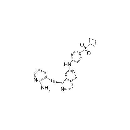 Nc1ncccc1C#Cc1nccc2cnc(Nc3ccc(S(=O)(=O)C4CCC4)cc3)cc12